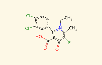 CCn1c(C)c(F)c(=O)c(C(=O)O)c1-c1ccc(Cl)c(Cl)c1